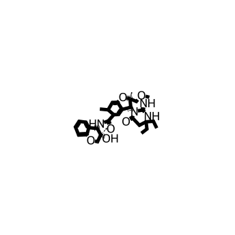 CCC1(CC)CC(=O)N([C@H]2C3=CC(C(=O)N[C@@H]4c5ccccc5OC[C@]4(C)O)C(C)C=C3O[C@@]2(C)COC)C(=N)N1